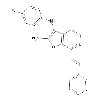 Nc1oc2c(/C=C/c3ccccc3)nccc2c1Nc1ccc(F)cc1